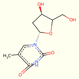 Cc1cn([C@@H]2C[C@@H](O)C(CO)O2)c(=O)[nH]c1=O